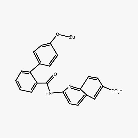 CC(C)(C)Oc1ccc(-c2ccccc2C(=O)Nc2ccc3cc(C(=O)O)ccc3n2)cc1